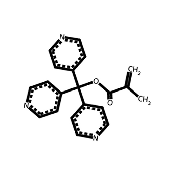 C=C(C)C(=O)OC(c1ccncc1)(c1ccncc1)c1ccncc1